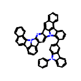 c1ccc(-n2c3ccccc3c3cc(-c4cccc5c6c7ccccc7cc7c8nc9c(cc8n(c45)c76)c4cccc5c6ccc7ccccc7c6n9c45)ccc32)cc1